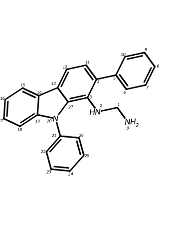 NCNc1c(-c2ccccc2)ccc2c3ccccc3n(-c3ccccc3)c12